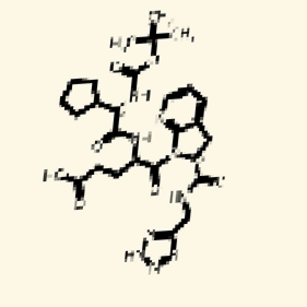 CC(C)(C)OC(=O)N[C@H](C(=O)NC(CCC(=O)O)C(=O)N1c2ncccc2C[C@H]1C(=O)NCc1nn[nH]n1)C1CCCC1